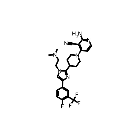 CN(C)CCn1cc(-c2ccc(F)c(C(F)(F)F)c2)nc1C1CCN(c2ccnc(N)c2C#N)CC1